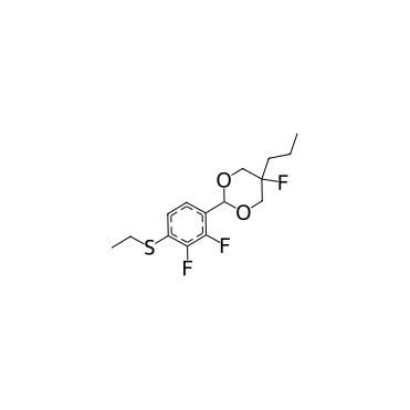 CCCC1(F)COC(c2ccc(SCC)c(F)c2F)OC1